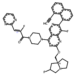 C#Cc1cccc2cccc(-c3ncc4c(N5CCN(C(=O)/C(F)=C/c6ncccn6)CC5)nc(OC[C@@]56CCCN5CC(F)C6)nc4c3F)c12